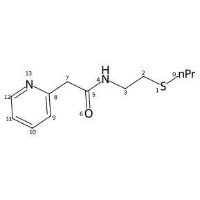 CCCSCCNC(=O)Cc1ccccn1